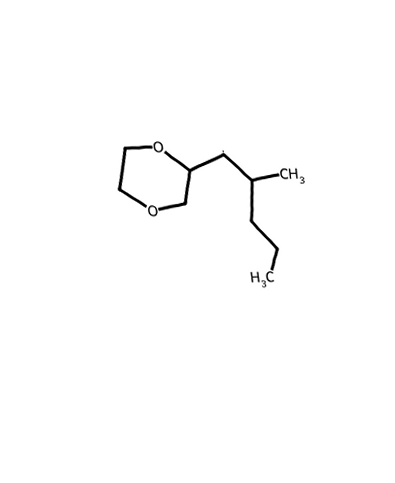 CCCC(C)[CH]C1COCCO1